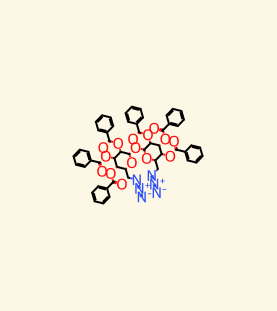 [N-]=[N+]=NCC1OC(OC2OC(CN=[N+]=[N-])C(OC(=O)c3ccccc3)C(OC(=O)c3ccccc3)C2OC(=O)c2ccccc2)C(OC(=O)c2ccccc2)C(OC(=O)c2ccccc2)C1OC(=O)c1ccccc1